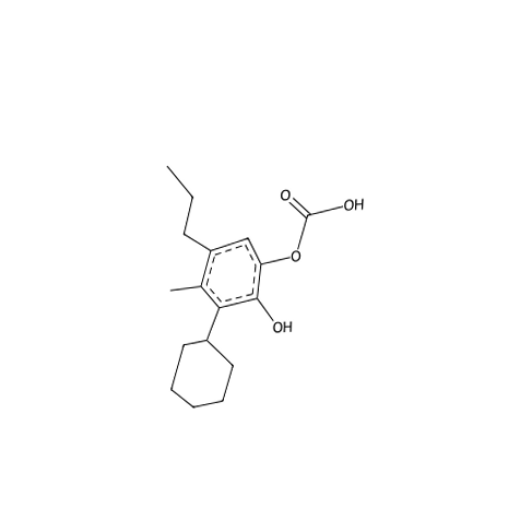 CCCc1cc(OC(=O)O)c(O)c(C2CCCCC2)c1C